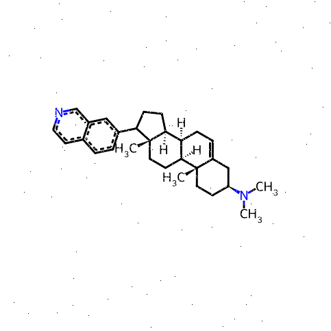 CN(C)[C@H]1CC[C@@]2(C)C(=CC[C@H]3[C@@H]2CC[C@]2(C)C(c4ccc5ccncc5c4)CC[C@@H]32)C1